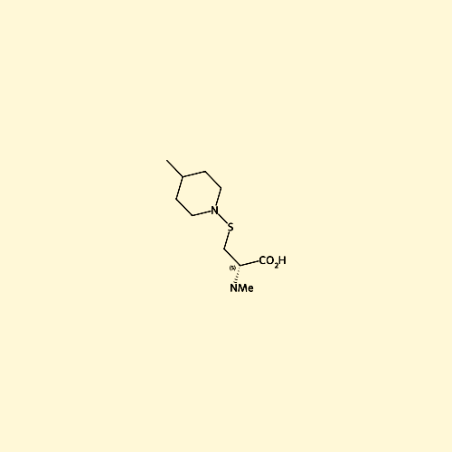 CN[C@H](CSN1CCC(C)CC1)C(=O)O